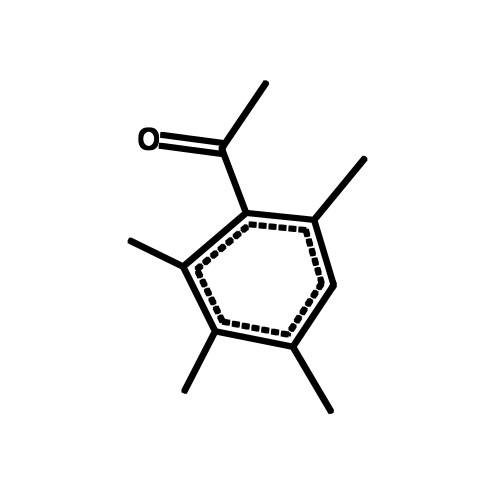 CC(=O)c1c(C)cc(C)c(C)c1C